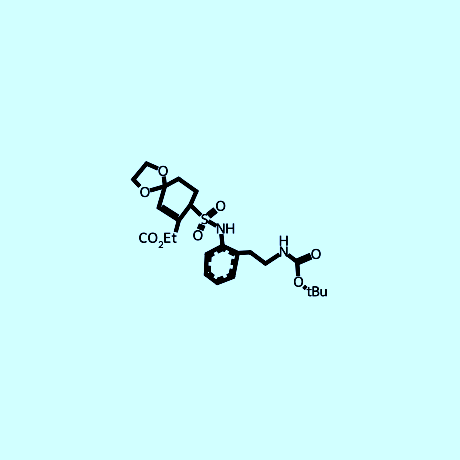 CCOC(=O)C1=CC2(CCC1S(=O)(=O)Nc1ccccc1CCNC(=O)OC(C)(C)C)OCCO2